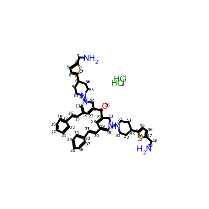 Cl.Cl.NCc1ccc(C2CCN(N3C=C(C=Cc4ccccc4)C=C(C(=O)C4=CC(C=Cc5ccccc5)=CN(N5CCC(c6ccc(CN)s6)CC5)C4)C3)CC2)s1